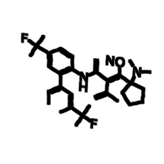 C=C(C)/C(C(=C)Nc1ccc(C(C)(C)F)cc1C(=C/C)/C=C(\C)C(C)(C)F)=C(/N=O)C1(N(C)C)CCCC1